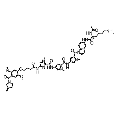 C=Nc1cc(OCCCC(=O)Nc2cn(C)c(C(=O)Nc3cc(C(=O)Nc4cc(C(=O)n5ccc6cc(NC(=O)[C@H](CCCCN)NC(C)=O)ccc65)n(C)c4)n(C)c3)n2)c(OC)cc1C(=O)N1CCC(=C)C1